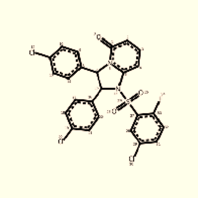 O=c1cccc2n1C(c1ccc(Cl)cc1)C(c1ccc(Cl)cc1)N2S(=O)(=O)c1cc(Cl)ccc1F